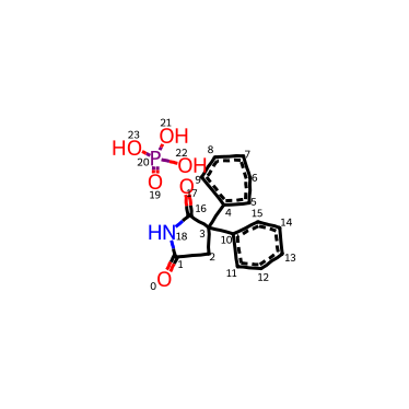 O=C1CC(c2ccccc2)(c2ccccc2)C(=O)N1.O=P(O)(O)O